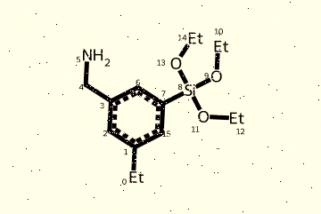 [CH2]Cc1cc(CN)cc([Si](OCC)(OCC)OCC)c1